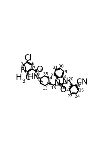 Cc1ncc(Cl)cc1C(=O)NC1CCC(Cn2c(=O)n(Cc3ccccc3C#N)c3ccccc32)CC1